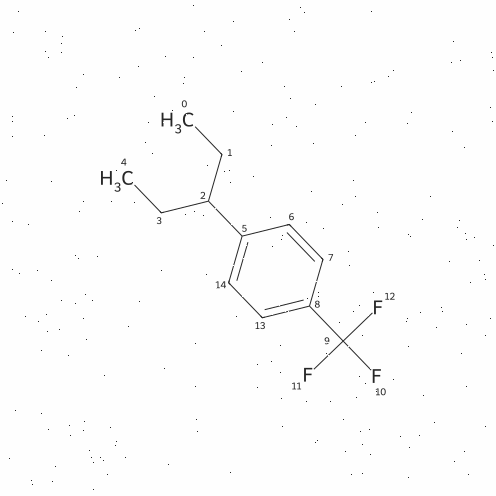 CCC(CC)c1ccc(C(F)(F)F)cc1